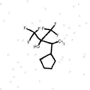 CC(C1CCCC1)C(O)(C(F)(F)F)C(F)(F)F